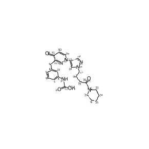 O=C(O)Nc1cccc(Cc2nn(-c3cnn(CCCC(=O)N4CCCCC4)c3)ccc2=O)c1